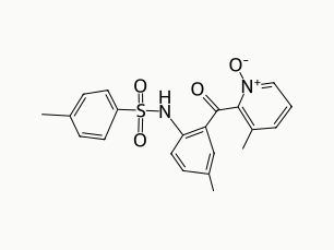 Cc1ccc(S(=O)(=O)Nc2ccc(C)cc2C(=O)c2c(C)ccc[n+]2[O-])cc1